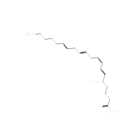 CCCCCC=CCC=CC/C=C\C=C\[C@@H](O)CCCC(=O)O